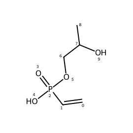 C=CP(=O)(O)OCC(C)O